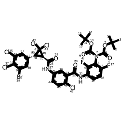 CC(C)(C)OC(=O)N(C(=O)OC(C)(C)C)c1c(F)ccc(NC(=O)c2cc(NC(=O)[C@H]3[C@H](c4cc(Cl)c(Cl)c(Br)c4)C3(Cl)Cl)ccc2Cl)c1F